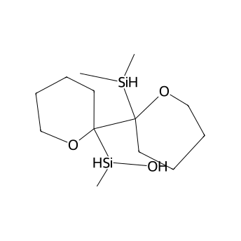 C[SiH](C)C1(C2([SiH](C)O)CCCCO2)CCCCO1